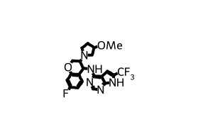 COC1CCN(C2COc3cc(F)ccc3C2Nc2ncnc3[nH]c(C(F)(F)F)cc23)C1